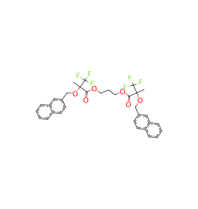 CC(OCc1ccc2ccccc2c1)(C(=O)OCCCOC(=O)C(C)(OCc1ccc2ccccc2c1)C(F)(F)F)C(F)(F)F